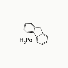 [PoH2].c1ccc2c(c1)Cc1ccccc1-2